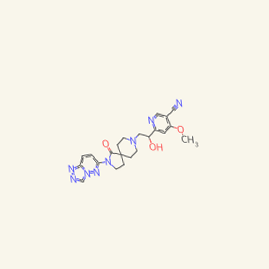 COc1cc([C@@H](O)CN2CCC3(CC2)CCN(c2ccc4nncn4n2)C3=O)ncc1C#N